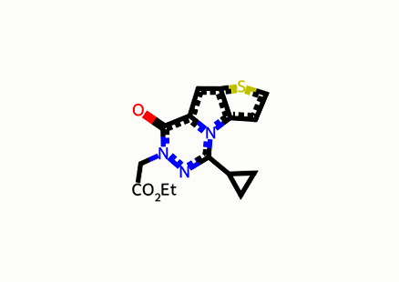 CCOC(=O)Cn1nc(C2CC2)n2c(cc3sccc32)c1=O